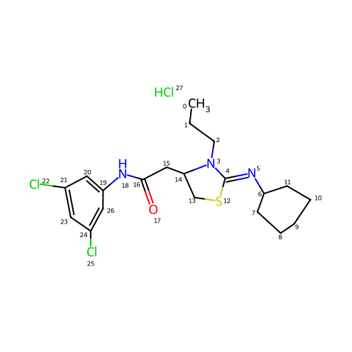 CCCN1/C(=N/C2CCCCC2)SCC1CC(=O)Nc1cc(Cl)cc(Cl)c1.Cl